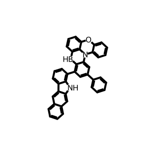 B1c2cccc3c2N(c2ccccc2O3)c2cc(-c3ccccc3)cc(-c3cccc4c3[nH]c3cc5ccccc5cc34)c21